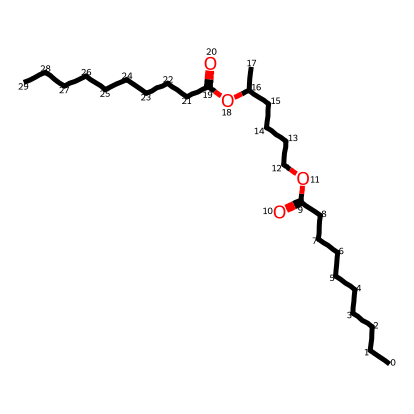 CCCCCCCCCC(=O)OCCCCC(C)OC(=O)CCCCCCCCC